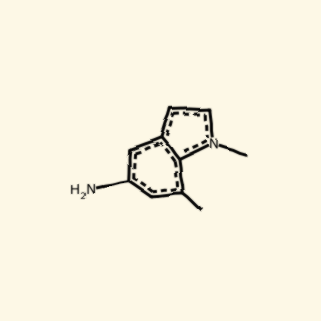 Cc1cc(N)cc2ccn(C)c12